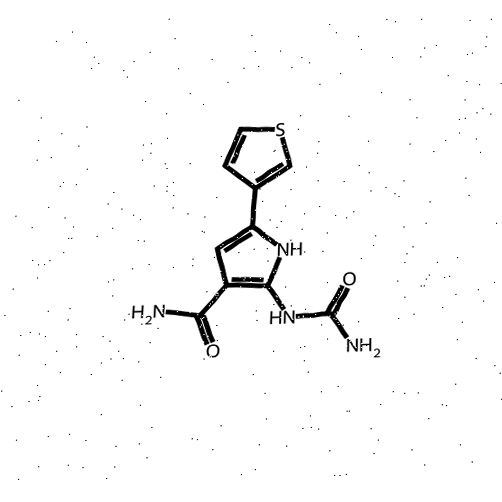 NC(=O)Nc1[nH]c(-c2ccsc2)cc1C(N)=O